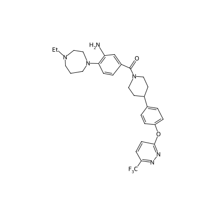 CCN1CCCN(c2ccc(C(=O)N3CCC(c4ccc(Oc5ccc(C(F)(F)F)nn5)cc4)CC3)cc2N)CC1